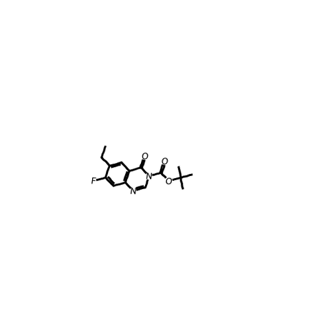 CCc1cc2c(=O)n(C(=O)OC(C)(C)C)cnc2cc1F